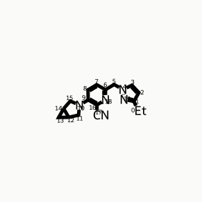 CCc1ccn(Cc2ccc(N3CC4CC4C3)c(C#N)n2)n1